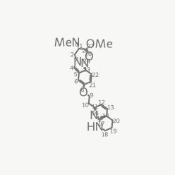 CN[C@@H](Cn1cc2cc(OCCc3ccc4c(n3)NCCC4)ccc2n1)C(=O)OC